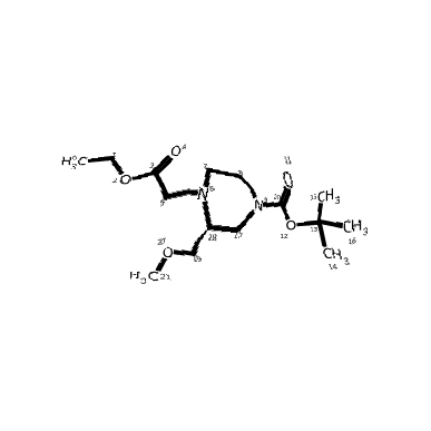 CCOC(=O)CN1CCN(C(=O)OC(C)(C)C)C[C@H]1COC